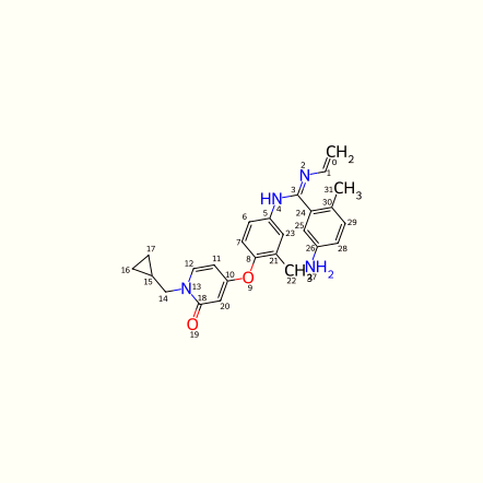 C=C/N=C(/Nc1ccc(Oc2ccn(CC3CC3)c(=O)c2)c(C)c1)c1cc(N)ccc1C